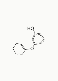 Oc1cccc(OC2=CCCCC2)c1